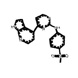 CS(=O)(=O)c1ccc(Nc2nccc(-c3ccnc4[nH]ccc34)n2)cc1